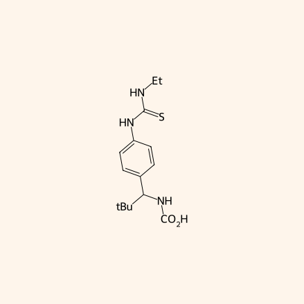 CCNC(=S)Nc1ccc(C(NC(=O)O)C(C)(C)C)cc1